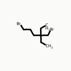 CCC(CC)(CBr)CCCBr